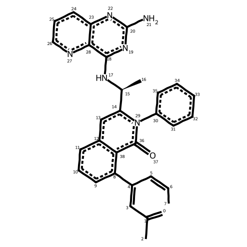 C=C(C)/C=C(\C=C/C)c1cccc2cc([C@H](C)Nc3nc(N)nc4cccnc34)n(-c3ccccc3)c(=O)c12